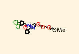 COCCOCCOCCOC1CCN(C[C@H](c2ccccc2)N(C)C(=O)Cc2ccc(Cl)c(Cl)c2)C1